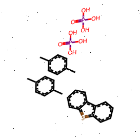 Cc1ccc(C)cc1.Cc1ccc(C)cc1.O=P(O)(O)O.O=P(O)(O)O.c1ccc2c(c1)sc1ccccc12